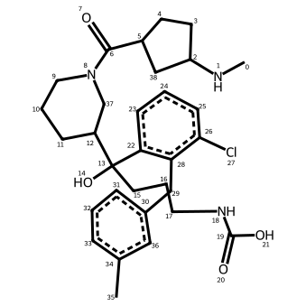 CNC1CCC(C(=O)N2CCCC(C(O)(CCCNC(=O)O)c3cccc(Cl)c3Cc3cccc(C)c3)C2)C1